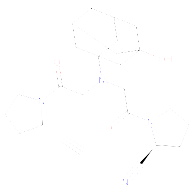 C#C[C@@H]1CCCN1C(=O)CN(CC(=O)N1CCC[C@H]1C#N)C12CC3CC(CC(O)(C3)C1)C2